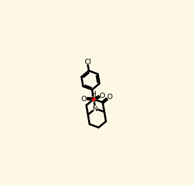 O=C1NCC2CCCC1N2S(=O)(=O)c1ccc(Cl)cc1